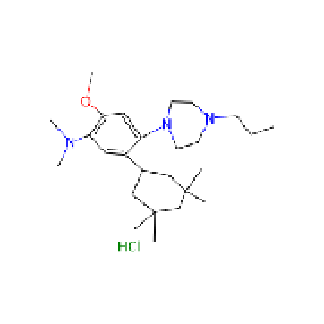 CCCN1CCN(c2cc(OC)c(N(C)C)cc2C2CC(C)(C)CC(C)(C)C2)CC1.Cl